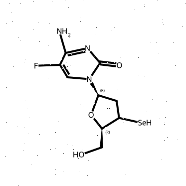 Nc1nc(=O)n([C@H]2CC([SeH])[C@@H](CO)O2)cc1F